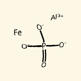 O=P([O-])([O-])[O-].[Al+3].[Fe]